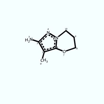 Cc1c(N)nn2c1OCCC2